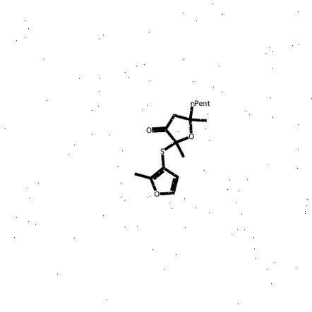 CCCCCC1(C)CC(=O)C(C)(Sc2ccoc2C)O1